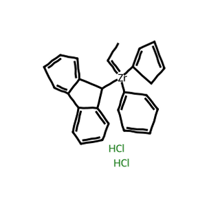 C[CH]=[Zr]([C]1=CC=CC1)([c]1ccccc1)[CH]1c2ccccc2-c2ccccc21.Cl.Cl